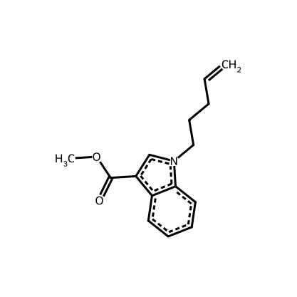 C=CCCCn1cc(C(=O)OC)c2ccccc21